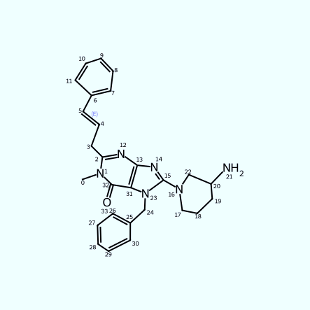 Cn1c(C/C=C/c2ccccc2)nc2nc(N3CCCC(N)C3)n(Cc3ccccc3)c2c1=O